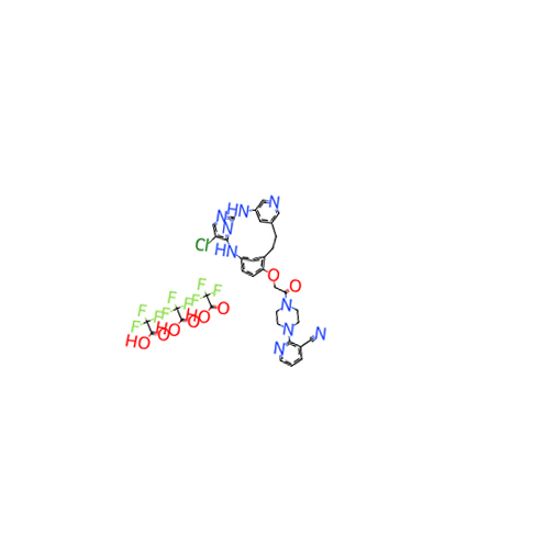 N#Cc1cccnc1N1CCN(C(=O)COc2ccc3cc2CCc2cncc(c2)Nc2ncc(Cl)c(n2)N3)CC1.O=C(O)C(F)(F)F.O=C(O)C(F)(F)F.O=C(O)C(F)(F)F